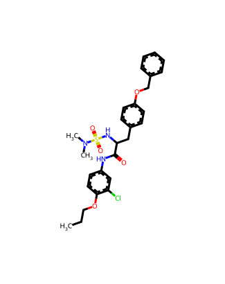 CCCOc1ccc(NC(=O)C(Cc2ccc(OCc3ccccc3)cc2)NS(=O)(=O)N(C)C)cc1Cl